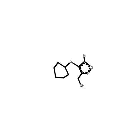 OCc1noc(Br)c1OC1CCCCC1